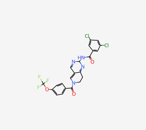 O=C(NC1N=CC2=CN(C(=O)c3ccc(OC(F)(F)F)cc3)CCC2=N1)c1cc(Cl)cc(Cl)c1